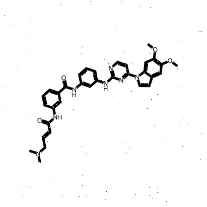 COc1cc2ccn(-c3ccnc(Nc4cccc(NC(=O)c5cccc(NC(=O)C=CCN(C)C)c5)c4)n3)c2cc1OC